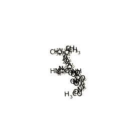 COC(=O)N1CCN(C[C@H]2COc3cc(S(=O)(=O)NC(=O)c4ccc(N5CCN(CC6=C(c7ccc(Cl)cc7)CC(C)(C)CC6)CC5)cc4Oc4cnc5[nH]ccc5c4)cc([N+](=O)[O-])c3N2)CC1